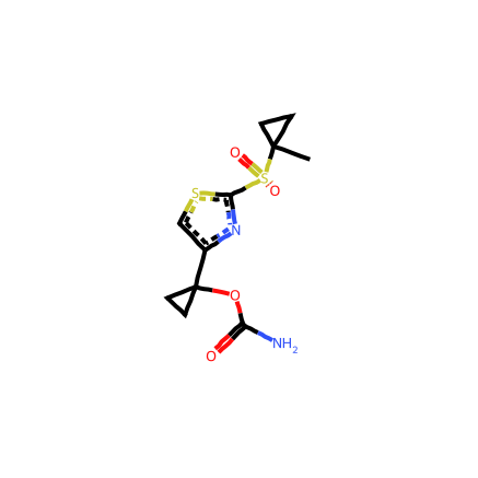 CC1(S(=O)(=O)c2nc(C3(OC(N)=O)CC3)cs2)CC1